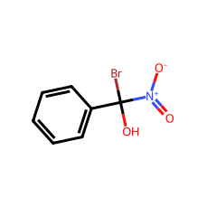 O=[N+]([O-])C(O)(Br)c1ccccc1